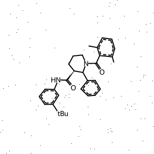 Cc1cccc(C)c1C(=O)N1CCC[C@H](C(=O)Nc2cccc(C(C)(C)C)c2)C1c1ccccc1